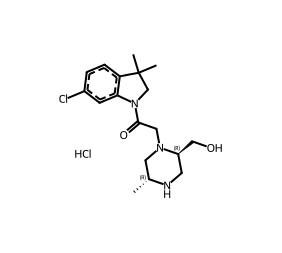 C[C@@H]1CN(CC(=O)N2CC(C)(C)c3ccc(Cl)cc32)[C@@H](CO)CN1.Cl